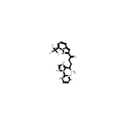 CC(CCC(=O)c1cc2cccc(C(F)(F)F)n2n1)c1ncnn1-c1ncccn1